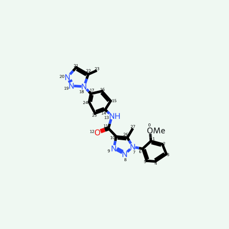 COc1ccccc1-n1nnc(C(=O)Nc2ccc(-n3nncc3C)cc2)c1C